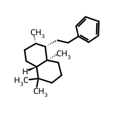 C[C@H]1CC[C@H]2C(C)(C)CCC[C@]2(C)[C@H]1CCc1ccccc1